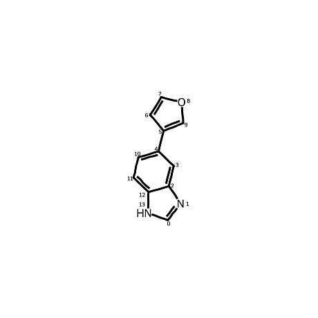 c1nc2cc(-c3ccoc3)ccc2[nH]1